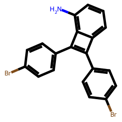 Nc1cccc2c1C(c1ccc(Br)cc1)=C2c1ccc(Br)cc1